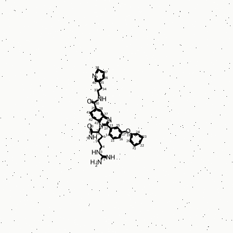 N=C(N)NCCC[C@@H](C(N)=O)n1c(-c2cccc(Oc3ccccc3)c2)nc2cc(C(=O)NCCc3cccnc3)ccc21